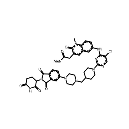 CNC(=O)Cc1cc2cc(Nc3nc(N4CCC(CN5CCN(c6ccc7c(c6)C(=O)N(C6CCC(=O)NC6=O)C7=O)CC5)CC4)ncc3Cl)ccc2n(C)c1=O